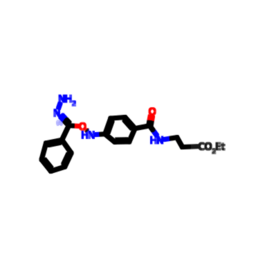 CCOC(=O)CCNC(=O)c1ccc(NO/C(=N\N)c2ccccc2)cc1